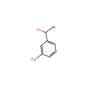 CC(C)C([O])c1cccc(C(F)(F)F)c1